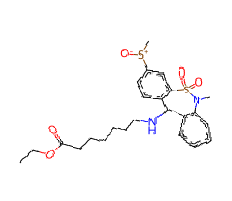 CCOC(=O)CCCCCCNC1c2ccccc2N(C)S(=O)(=O)c2cc([S+](C)[O-])ccc21